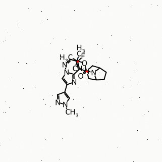 Cn1cc(-c2cn3ncc(F)c(N4CC5CCC(C4)N5C(=O)OC(C)(C)C)c3n2)cn1